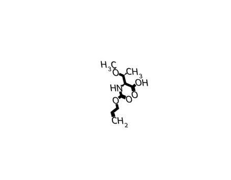 C=CCOC(=O)N[C@H](C(=O)O)[C@@H](C)OC